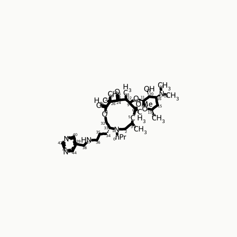 CCCN1CC(C)CC(C)(OC)C(O[C@@H]2O[C@H](C)C[C@H](N(C)C)[C@H]2O)C(C)C(=O)C(C)(C)C(=O)OC[C@H]1CCCNCc1cncnc1